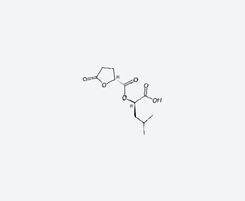 CC(C)C[C@@H](OC(=O)[C@H]1CCC(=O)O1)C(=O)O